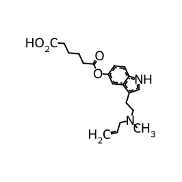 C=CCN(C)CCc1c[nH]c2ccc(OC(=O)CCCCC(=O)O)cc12